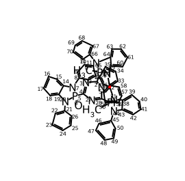 C[PH]1(c2nc(P3(=O)N(c4ccccc4)c4ccccc4N3c3ccccc3)nc([PH]3(C)N(c4ccccc4)c4ccccc4N3c3ccccc3)n2)N(c2ccccc2)c2ccccc2N1c1ccccc1